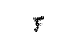 Cl.O=C(Nc1cccnc1)c1c[nH]c2ncc(-c3ccc(OCCN4CCOCC4)cc3)cc12